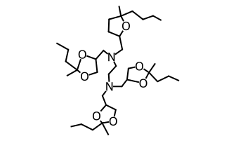 CCCCC1(C)CCC(CN(CCN(CC2COC(C)(CCC)O2)CC2COC(C)(CCC)O2)CC2COC(C)(CCC)O2)O1